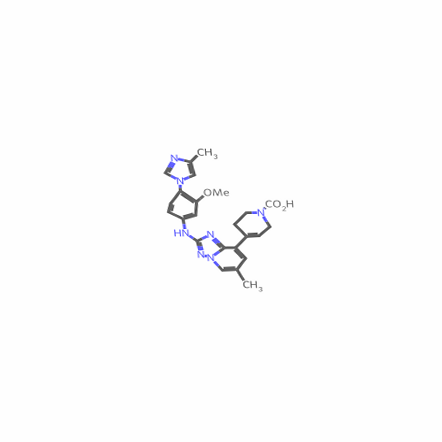 COc1cc(Nc2nc3c(C4=CCN(C(=O)O)CC4)cc(C)cn3n2)ccc1-n1cnc(C)c1